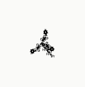 CC(C)CNC(=O)CCNC(=O)COCC(COC(=O)C(C)(C)C(=O)OCc1ccccc1)(COC(=O)C(C)(C)C(=O)OCc1ccccc1)COC(=O)C(C)(C)C(=O)OCc1ccccc1